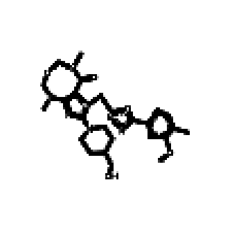 COc1cc(-c2nnc(Cn3c(N4CCC(CO)CC4)nc4c3C(=O)N(C)COCN4C)o2)ccc1C